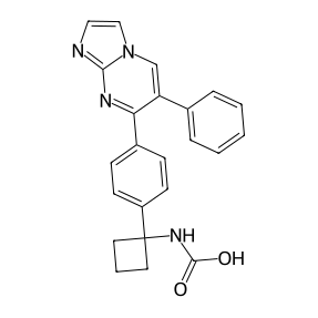 O=C(O)NC1(c2ccc(-c3nc4nccn4cc3-c3ccccc3)cc2)CCC1